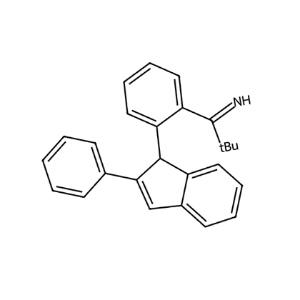 CC(C)(C)C(=N)c1ccccc1C1C(c2ccccc2)=Cc2ccccc21